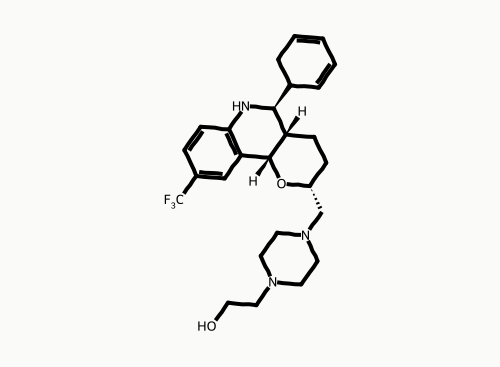 OCCN1CCN(C[C@H]2CC[C@@H]3[C@H](O2)c2cc(C(F)(F)F)ccc2N[C@H]3C2C=CC=CC2)CC1